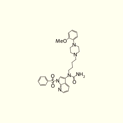 COc1ccccc1N1CCN(CCCCN(C(N)=O)c2cn(S(=O)(=O)c3ccccc3)c3ncccc23)CC1